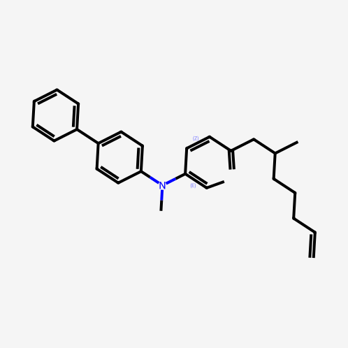 C=CCCCC(C)CC(=C)/C=C\C(=C/C)N(C)c1ccc(-c2ccccc2)cc1